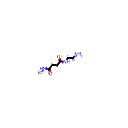 CCNC(=O)CCC(=O)NCCN